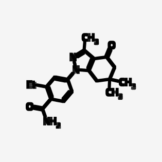 CCc1cc(-n2nc(C)c3c2CC(C)(C)CC3=O)ccc1C(N)=O